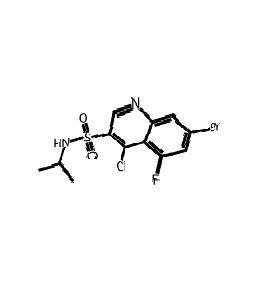 CC(C)NS(=O)(=O)c1cnc2cc(Br)cc(F)c2c1Cl